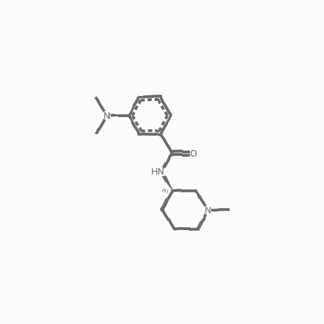 CN1CCC[C@@H](NC(=O)c2cccc(N(C)C)c2)C1